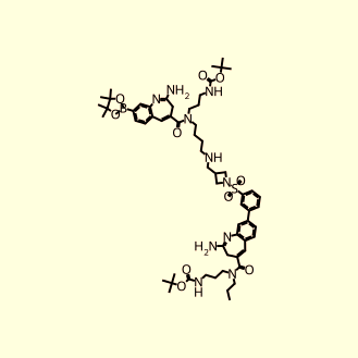 CCCN(CCCNC(=O)OC(C)(C)C)C(=O)C1=Cc2ccc(-c3cccc(S(=O)(=O)N4CC(CNCCCCN(CCCNC(=O)OC(C)(C)C)C(=O)C5=Cc6ccc(B7OC(C)(C)C(C)(C)O7)cc6N=C(N)C5)C4)c3)cc2N=C(N)C1